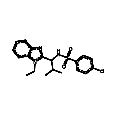 CCn1c(C(NS(=O)(=O)c2ccc(Cl)cc2)C(C)C)nc2ccccc21